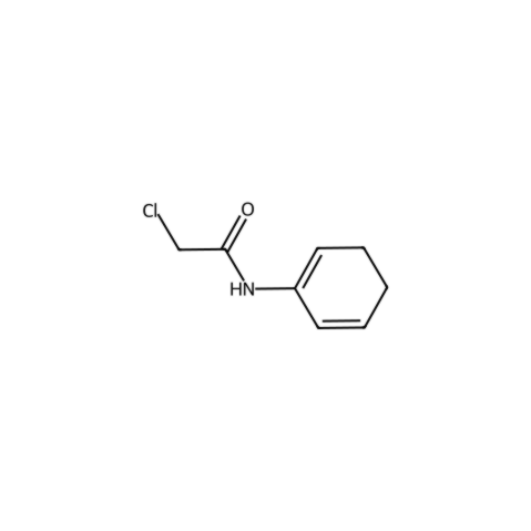 O=C(CCl)NC1=CCCC=C1